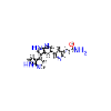 NC(=O)/C=C/c1cncc(-c2cnc3[nH]cc(-c4ccnc5[nH]ccc45)c3c2)c1